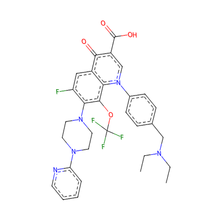 CCN(CC)Cc1ccc(-n2cc(C(=O)O)c(=O)c3cc(F)c(N4CCN(c5ccccn5)CC4)c(OC(F)(F)F)c32)cc1